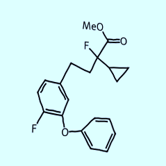 COC(=O)C(F)(CCc1ccc(F)c(Oc2ccccc2)c1)C1CC1